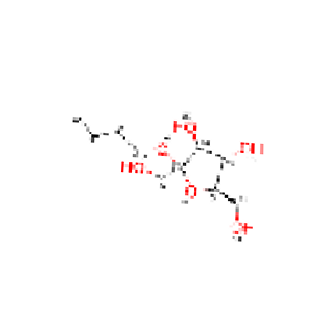 CCCCO[C@]1(CO)O[C@H](CO)[C@@H](O)[C@@H]1O